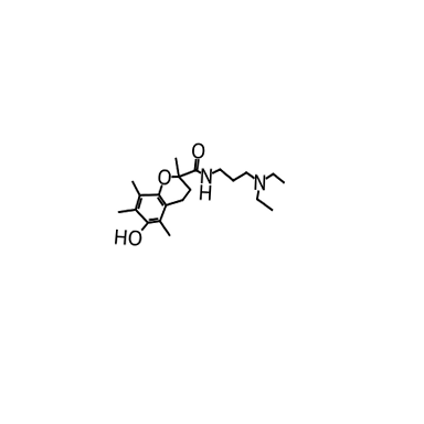 CCN(CC)CCCNC(=O)C1(C)CCc2c(C)c(O)c(C)c(C)c2O1